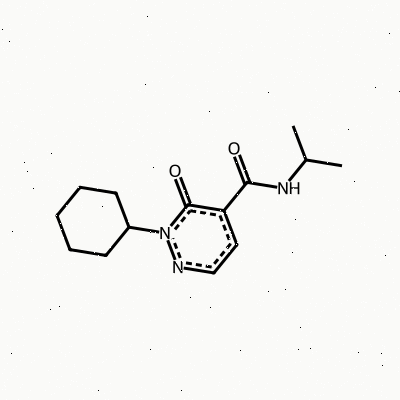 CC(C)NC(=O)c1ccnn(C2CCCCC2)c1=O